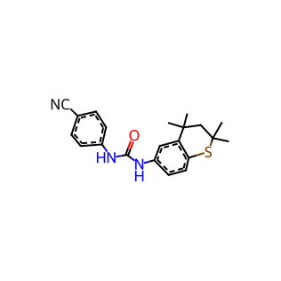 CC1(C)CC(C)(C)c2cc(NC(=O)Nc3ccc(C#N)cc3)ccc2S1